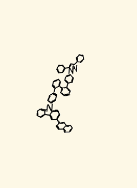 c1ccc(-c2cc(-c3ccccc3)n(-c3ccc(-c4ccccc4-c4ccccc4-c4ccc(-n5c6ccccc6c6cc(-c7ccc8ccccc8c7)ccc65)cc4)cc3)n2)cc1